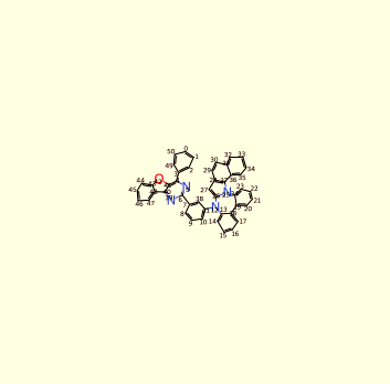 c1ccc(-c2nc(-c3cccc(N4c5ccccc5-c5ccccc5-n5c4cc4ccc6ccccc6c45)c3)nc3c2oc2ccccc23)cc1